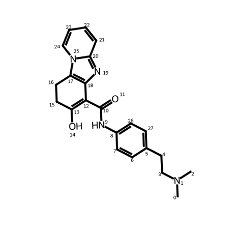 CN(C)CCc1ccc(NC(=O)C2=C(O)CCc3c2nc2ccccn32)cc1